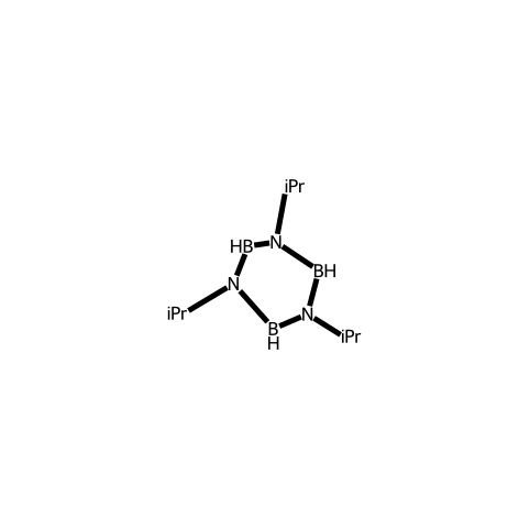 CC(C)N1BN(C(C)C)BN(C(C)C)B1